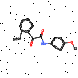 CCOc1ccc(NC(=O)C(=O)c2ccccc2NC(C)=O)cc1